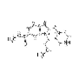 COCCn1c(CN2CCNCC2)nc2ccc(C(=O)OC)cc21